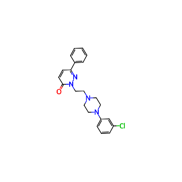 O=c1ccc(-c2ccccc2)nn1CCN1CCN(c2cccc(Cl)c2)CC1